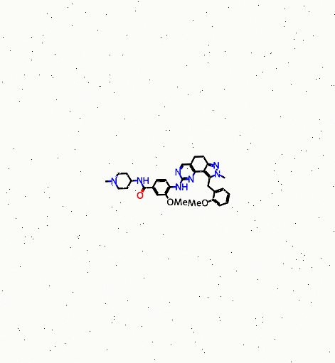 COc1ccccc1Cc1c2c(nn1C)CCc1cnc(Nc3ccc(C(=O)NC4CCN(C)CC4)cc3OC)nc1-2